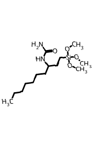 CCCCCCCC(CC[Si](OC)(OC)OC)NC(N)=O